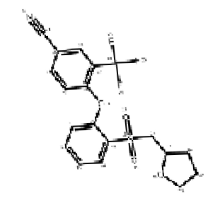 N#Cc1ccc(Oc2ccccc2S(=O)(=O)CC2CCCO2)c(C(F)(F)F)c1